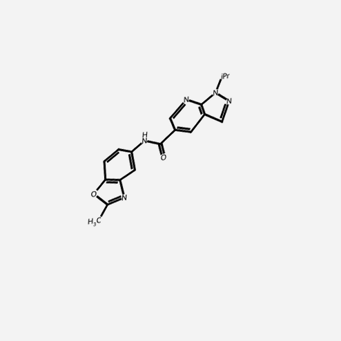 Cc1nc2cc(NC(=O)c3cnc4c(cnn4C(C)C)c3)ccc2o1